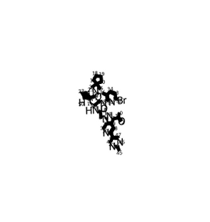 CC(=O)c1nn(CC(=O)N[C@@H](C[C@@]2(CN3CC4(CCCC4)C3)[C@H]3C[C@]32C)C(=O)Nc2nc(Br)ccc2C)c2cnc(-c3cnc(C)nc3)cc12